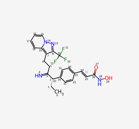 CC[C@H](C(=N)CCc1c(C(F)(F)F)nn2ccccc12)c1ccc(/C=C/C(=O)NO)cc1